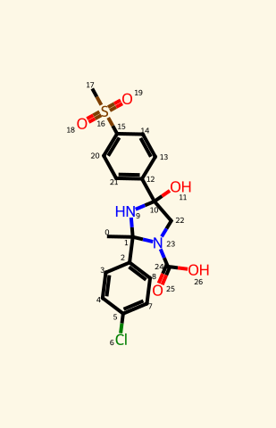 CC1(c2ccc(Cl)cc2)NC(O)(c2ccc(S(C)(=O)=O)cc2)CN1C(=O)O